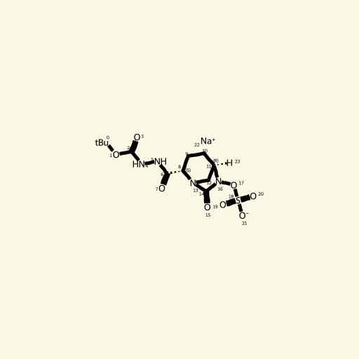 CC(C)(C)OC(=O)NNC(=O)[C@@H]1CC[C@@H]2CN1C(=O)N2OS(=O)(=O)[O-].[Na+]